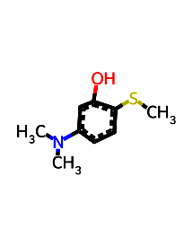 CSc1ccc(N(C)C)cc1O